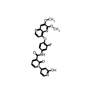 COc1cc2nccc(Oc3ccc(NC(=O)c4cccn(-c5ccnc(O)c5)c4=O)cc3F)c2nc1OC